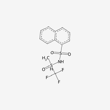 C[SH](=O)(NS(=O)(=O)c1cccc2ccccc12)C(F)(F)F